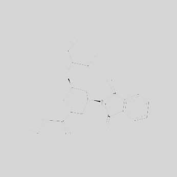 CCOC(=O)C1=C[C@@H](OC(CC)CC)C[C@@H](N2C(=O)c3ccccc3C2=O)C1